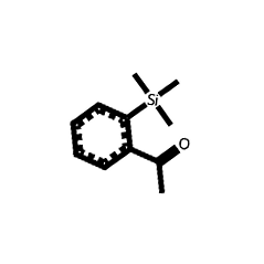 CC(=O)c1ccccc1[Si](C)(C)C